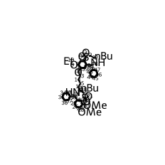 CCCCC1CS(=O)(=O)c2cc(OCC)c(OCCCC[C@@]3(CCCC)CS(=O)(=O)c4c(ccc(OC)c4OC)[C@@H](c4ccccc4)N3)cc2[C@@H](c2ccccc2)N1